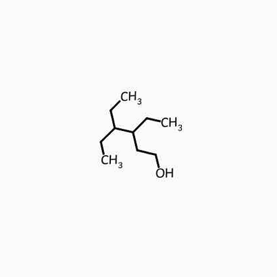 CCC(CC)C(CC)CCO